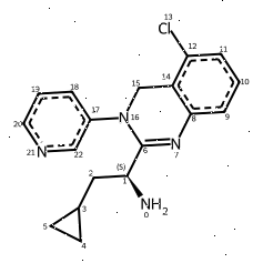 N[C@@H](CC1CC1)C1=Nc2cccc(Cl)c2CN1c1cccnc1